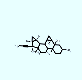 CC#C[C@]1(O)[C@H]2C[C@H]2C2C3C(CC[C@@]21C)[C@@]1(C)CC[C@H](C)C[C@@]1(O)[C@@H]1C[C@H]31